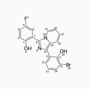 Oc1ccc(F)cc1-c1nc(-c2cccc(Br)c2O)c2ccccn12